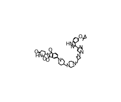 CC1(Oc2ccc3[nH]nc(-c4cc(N5CC(CN6CCN(CC7CCN(c8ccc9c(c8)C(=O)N(C8CCC(=O)NC8=O)C9=O)CC7)CC6)C5)ncn4)c3c2)CC1